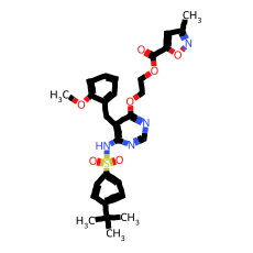 COc1ccccc1Cc1c(NS(=O)(=O)c2ccc(C(C)(C)C)cc2)ncnc1OCCOC(=O)c1cc(C)no1